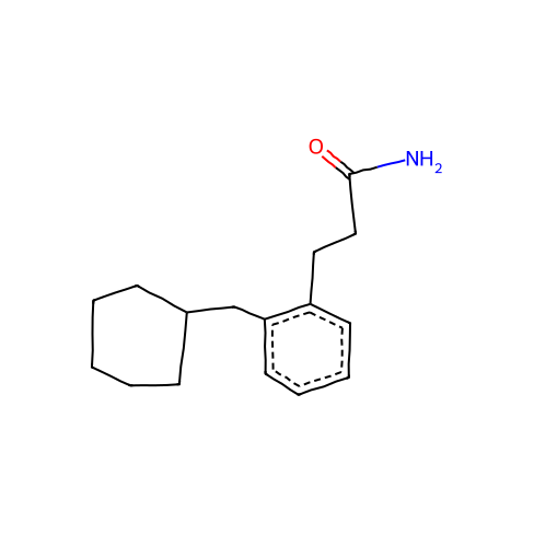 NC(=O)CCc1ccccc1CC1CCCCC1